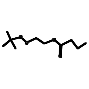 CCCC(=O)OCCOOC(C)(C)C